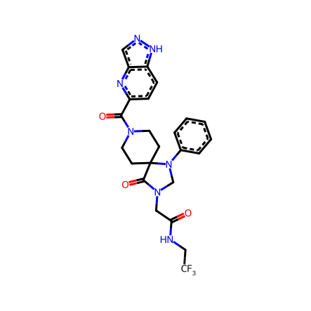 O=C(CN1CN(c2ccccc2)C2(CCN(C(=O)c3ccc4[nH]ncc4n3)CC2)C1=O)NCC(F)(F)F